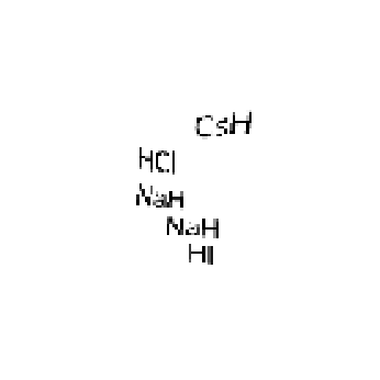 Cl.I.[CsH].[NaH].[NaH]